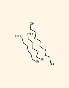 CC(C)CCCCCC(=O)O.CC(C)CCCCCC(=O)O.OCCOCCOCCO